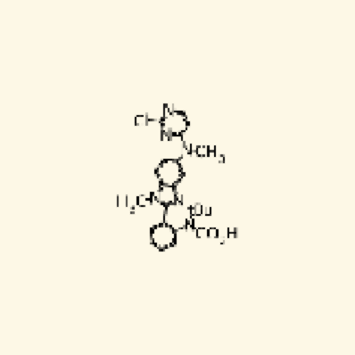 CN(c1ccc2c(c1)nc(-c1ccccc1N(C(=O)O)C(C)(C)C)n2C)c1ccnc(Cl)n1